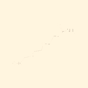 NC(=O)OCCOCCOCC=O